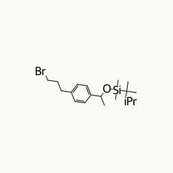 CC(O[Si](C)(C)C(C)(C)C(C)C)c1ccc(CCCBr)cc1